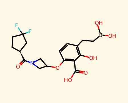 O=C(O)c1c(OC2CN(C(=O)[C@H]3CCC(F)(F)C3)C2)ccc(CCB(O)O)c1O